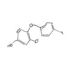 Oc1ccc(Oc2ccc(I)cc2)c(Cl)c1